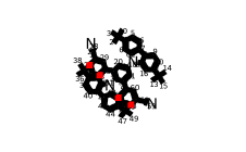 CC(C)(C)c1ccc2c3ccc(C(C)(C)C)cc3n(-c3cc(-c4cccc(C#N)c4)c(-n4c5cc(C(C)(C)C)ccc5c5ccc(C(C)(C)C)cc54)c(-c4cccc(C#N)c4)c3)c2c1